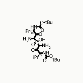 CC(C)[C@H](NC(=O)OC(C)(C)C)C(=O)C(N)P(=O)(O)C(N)C(=O)[C@@H](NC(=O)OC(C)(C)C)C(C)C